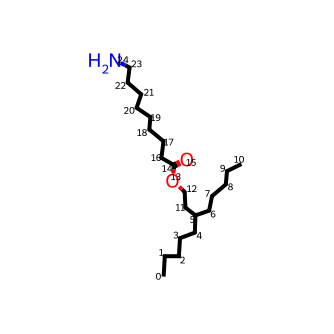 CCCCCC(CCCCC)CCOC(=O)CCCCCCCCN